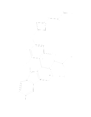 C[C@@H]1Cc2c([nH]c3ccc(F)cc23)C(c2c(F)cc(OC3CN(CCCF)C3)cc2F)N1CC(F)F